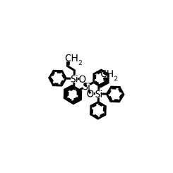 C=CC[Si](O[Si](O[Si](CC=C)(c1ccccc1)c1ccccc1)(c1ccccc1)c1ccccc1)(c1ccccc1)c1ccccc1